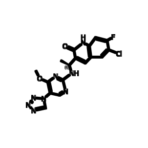 COc1nc(N[C@@H](C)c2cc3cc(Cl)c(F)cc3[nH]c2=O)ncc1-n1cnnn1